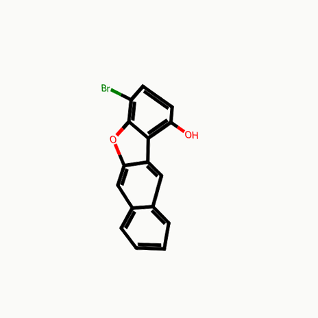 Oc1ccc(Br)c2oc3cc4ccccc4cc3c12